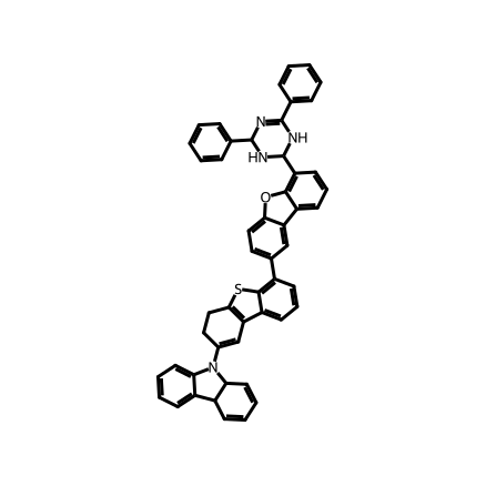 C1=CC2c3ccccc3N(C3=Cc4c(sc5c(-c6ccc7oc8c(C9NC(c%10ccccc%10)=NC(c%10ccccc%10)N9)cccc8c7c6)cccc45)CC3)C2C=C1